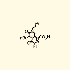 CCCC[C@H]1C(=O)N(CCC(C)C)CC2N(C(=O)O)O[C@H](CC)C(=O)N21